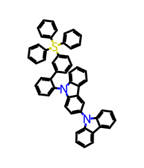 c1ccc(S(c2ccccc2)(c2ccccc2)c2cccc(-c3ccccc3-n3c4ccccc4c4cc(-n5c6ccccc6c6ccccc65)ccc43)c2)cc1